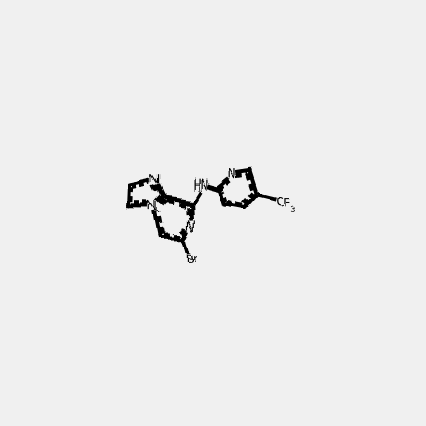 FC(F)(F)c1ccc(Nc2nc(Br)cn3ccnc23)nc1